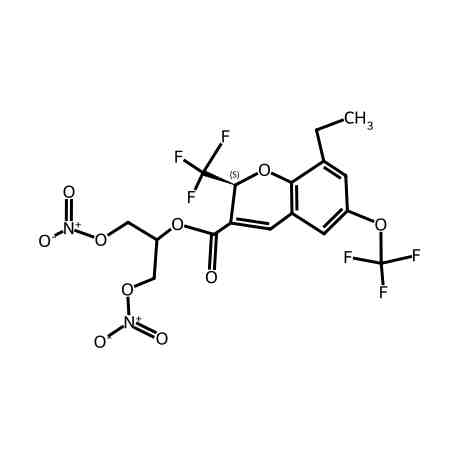 CCc1cc(OC(F)(F)F)cc2c1O[C@H](C(F)(F)F)C(C(=O)OC(CO[N+](=O)[O-])CO[N+](=O)[O-])=C2